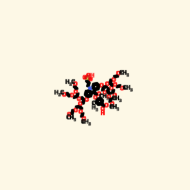 COCCOCC(COCCOC)OCC(COC(COCCOC)COCCOC)Oc1ccc2c(c1)c(C(=O)Oc1c(C)cc(C(=O)O)cc1C)c1cc(OC(COC(COCCOC)COCCOC)COC(COCCOC)COCCOC)ccc1[n+]2CCCS(=O)(=O)O